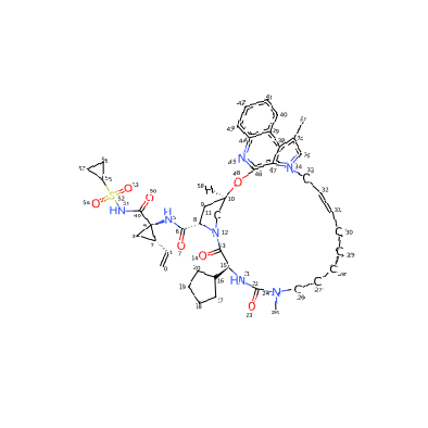 C=C[C@@H]1C[C@]1(NC(=O)[C@@H]1C[C@@H]2CN1C(=O)[C@H](C1CCCC1)NC(=O)N(C)CCCCCC=CCn1cc(C)c3c4ccccc4nc(c31)O2)C(=O)NS(=O)(=O)C1CC1